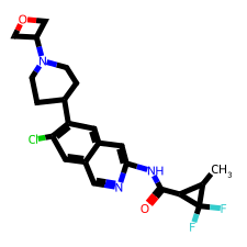 CC1C(C(=O)Nc2cc3cc(C4CCN(C5COC5)CC4)c(Cl)cc3cn2)C1(F)F